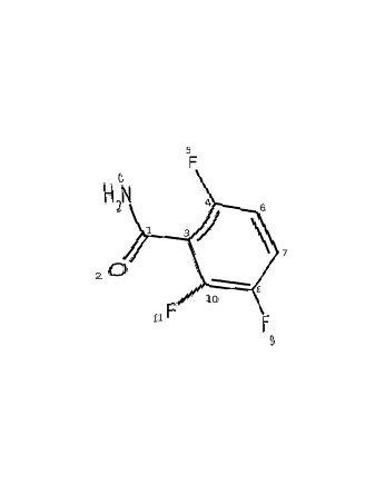 NC(=O)c1c(F)ccc(F)c1F